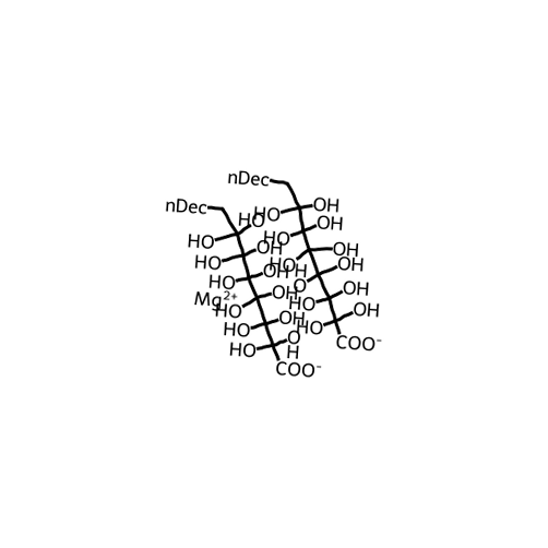 CCCCCCCCCCCC(O)(O)C(O)(O)C(O)(O)C(O)(O)C(O)(O)C(O)(O)C(=O)[O-].CCCCCCCCCCCC(O)(O)C(O)(O)C(O)(O)C(O)(O)C(O)(O)C(O)(O)C(=O)[O-].[Mg+2]